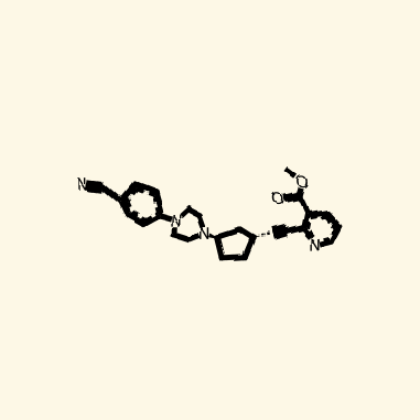 COC(=O)c1cccnc1C#C[C@@H]1CC[C@@H](N2CCN(c3ccc(C#N)cc3)CC2)C1